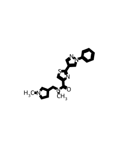 CN1CCC(CN(C)C(=O)c2csc(-c3cnn(-c4ccccc4)c3)n2)C1